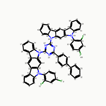 Fc1ccc(-n2c3ccccc3c3cc4c5ccccc5n(-c5nc(-c6ccc(-c7ccccc7)cc6)nc(-n6c7ccccc7c7cc8c9ccccc9n(-c9ccc(F)cc9F)c8cc76)n5)c4cc32)c(F)c1